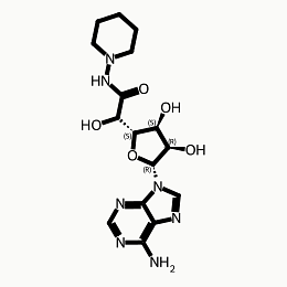 Nc1ncnc2c1ncn2[C@@H]1O[C@H](C(O)C(=O)NN2CCCCC2)[C@@H](O)[C@H]1O